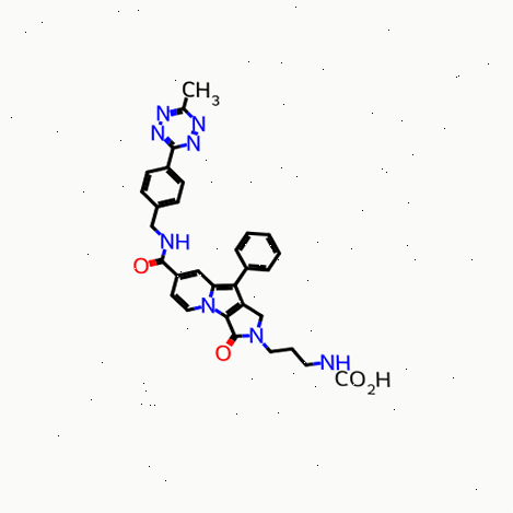 Cc1nnc(-c2ccc(CNC(=O)c3ccn4c5c(c(-c6ccccc6)c4c3)CN(CCCNC(=O)O)C5=O)cc2)nn1